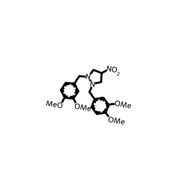 COc1ccc(CN2CC([N+](=O)[O-])CN2Cc2ccc(OC)c(OC)c2)cc1OC